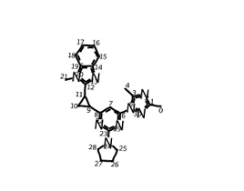 Cc1nc(C)n(-c2cc(C3CC3c3nc4ccccc4n3C)nc(N3CCCC3)n2)n1